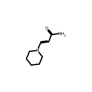 NC(=O)C=CN1CCCCC1